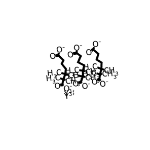 CC(C)(CCCC(=O)[O-])C(C)(C)C(=O)[O-].CC(C)(CCCC(=O)[O-])C(C)(C)C(=O)[O-].CC(C)(CCCC(=O)[O-])C(C)(C)C(=O)[O-].[Y+3].[Y+3]